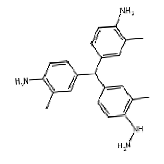 Cc1cc(C(c2ccc(N)c(C)c2)c2ccc(NN)c(C)c2)ccc1N